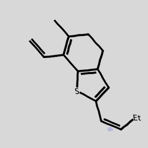 C=CC1=C(C)CCc2cc(/C=C\CC)sc21